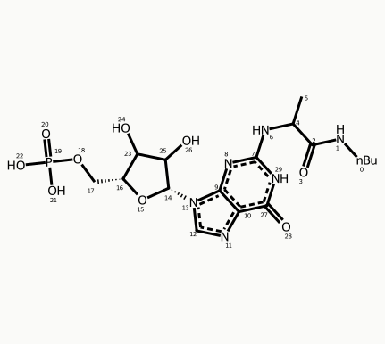 CCCCNC(=O)C(C)Nc1nc2c(ncn2[C@@H]2O[C@H](COP(=O)(O)O)C(O)C2O)c(=O)[nH]1